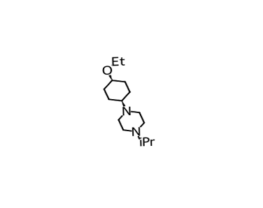 CCO[C@H]1CC[C@@H](N2CCN(C(C)C)CC2)CC1